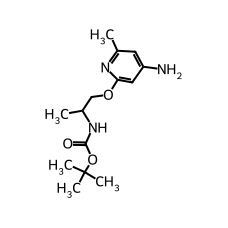 Cc1cc(N)cc(OCC(C)NC(=O)OC(C)(C)C)n1